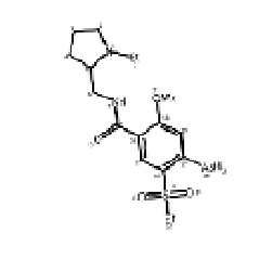 CCN1CCCC1CNC(=O)c1cc(S(=O)(=O)CC)c([AsH2])cc1OC